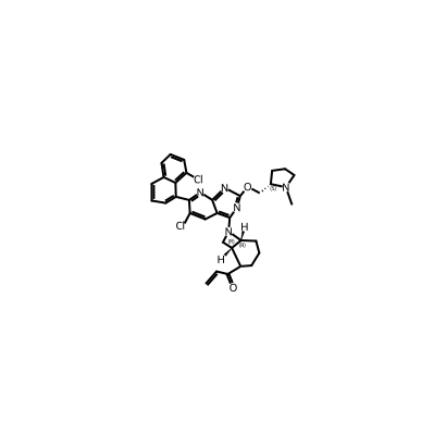 C=CC(=O)C1CCC[C@@H]2[C@H]1CN2c1nc(OC[C@@H]2CCCN2C)nc2nc(-c3cccc4cccc(Cl)c34)c(Cl)cc12